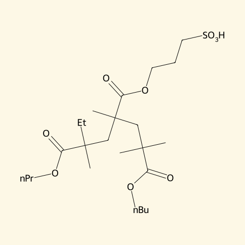 CCCCOC(=O)C(C)(C)CC(C)(CC(C)(CC)C(=O)OCCC)C(=O)OCCCS(=O)(=O)O